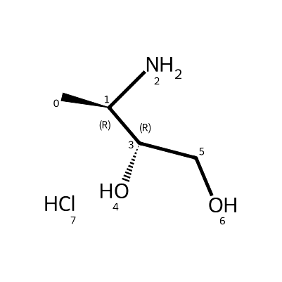 C[C@@H](N)[C@@H](O)CO.Cl